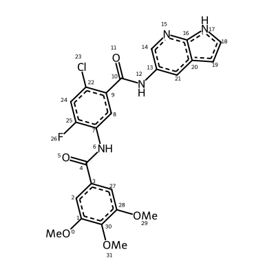 COc1cc(C(=O)Nc2cc(C(=O)Nc3cnc4[nH]ccc4c3)c(Cl)cc2F)cc(OC)c1OC